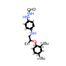 CCC(CNc1ccc(NNC=O)cc1)Oc1ccc(C(C)(C)C)cc1C(C)(C)C